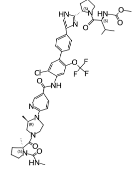 CNC(=O)N1CCC[C@@]1(C)C(=O)N1CCN(c2ccc(C(=O)Nc3cc(OC(F)(F)F)c(-c4ccc(-c5c[nH]c([C@@H]6CCCN6C(=O)[C@@H](NC(=O)OC)C(C)C)n5)cc4)cc3Cl)cn2)[C@H](C)C1